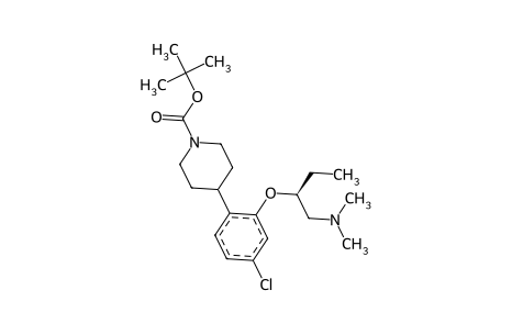 CC[C@@H](CN(C)C)Oc1cc(Cl)ccc1C1CCN(C(=O)OC(C)(C)C)CC1